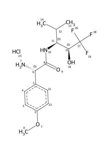 COc1ccc([C@H](N)C(=O)N[C@@H](C(C)C)[C@H](O)C(F)(F)F)cc1.Cl